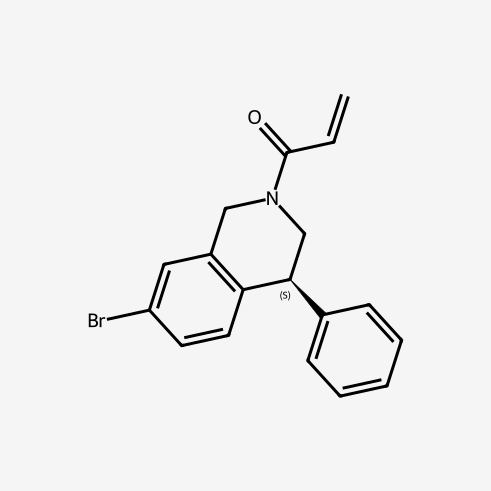 C=CC(=O)N1Cc2cc(Br)ccc2[C@H](c2ccccc2)C1